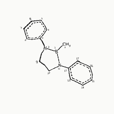 CB1N(c2ccccc2)CCN1c1ccccc1